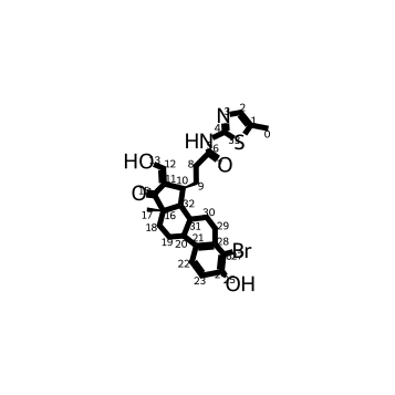 Cc1cnc(NC(=O)CC[C@@H]2C(=CO)C(=O)[C@@]3(C)CCC4c5ccc(O)c(Br)c5CCC4C23)s1